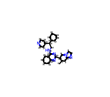 Cc1cc2nccn2cc1-c1nc(NCC(c2ccccc2)c2ccncc2)c2ccccc2n1